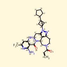 C=CC(=O)N1CCc2nn(C34CC(C5CCCC5)(C3)C4)c3c2C(C1)N(C(=O)c1c(N)cc(C(F)(F)F)nc1N)CC3